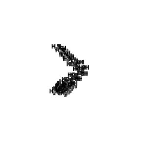 CN.CN.CN.CN.CN.CN.CN.CN.CN.CN.CN.OB(O)O.OB(O)O.OB(O)O.OB(O)O